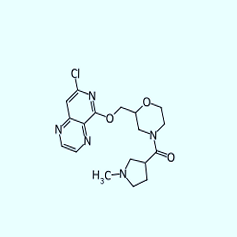 CN1CCC(C(=O)N2CCOC(COc3nc(Cl)cc4nccnc34)C2)C1